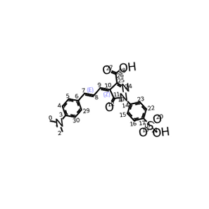 CN(C)c1ccc(/C=C/C=C2\C(=O)N(c3ccc(S(=O)(=O)O)cc3)N=C2C(=O)O)cc1